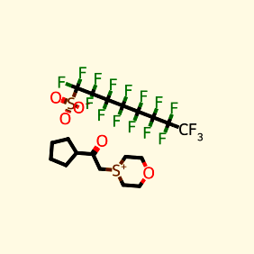 O=C(C[S+]1CCOCC1)C1CCCC1.O=S(=O)([O-])C(F)(F)C(F)(F)C(F)(F)C(F)(F)C(F)(F)C(F)(F)C(F)(F)C(F)(F)F